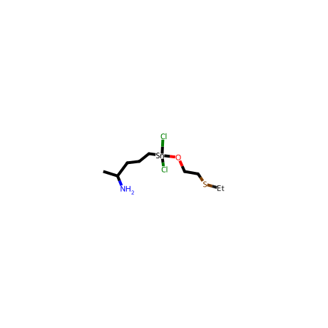 CCSCC[O][Sn]([Cl])([Cl])[CH2]CCC(C)N